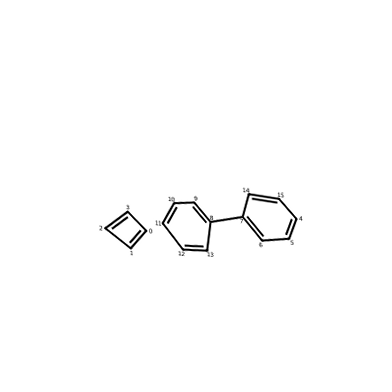 C1=CC=C1.c1ccc(-c2ccccc2)cc1